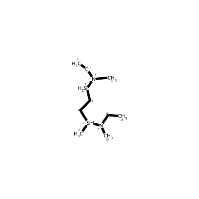 CCN(C)[SiH2]CC[SiH](C)N(C)CC